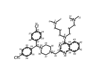 CN(C)CCCN(CCCN(C)C)c1nc(CN2CCN(C(c3ccc(Cl)cc3)c3ccc(Cl)cc3)CC2)nc2ccccc12